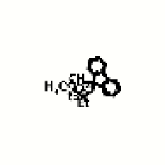 CCOCC1(CO[Si](C)(C)C(C)(C)C)c2ccccc2-c2ccccc21